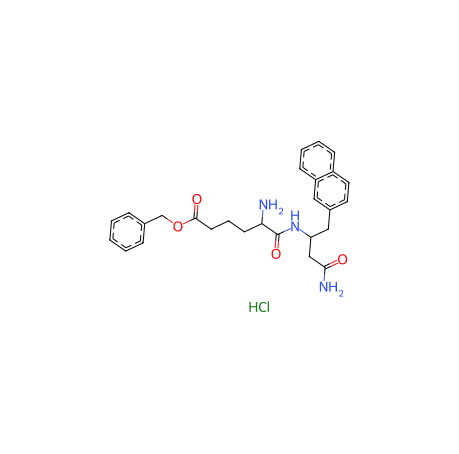 Cl.NC(=O)CC(Cc1ccc2ccccc2c1)NC(=O)C(N)CCCC(=O)OCc1ccccc1